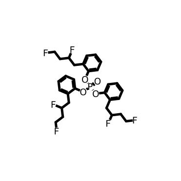 O=P(Oc1ccccc1CC(F)CCF)(Oc1ccccc1CC(F)CCF)Oc1ccccc1CC(F)CCF